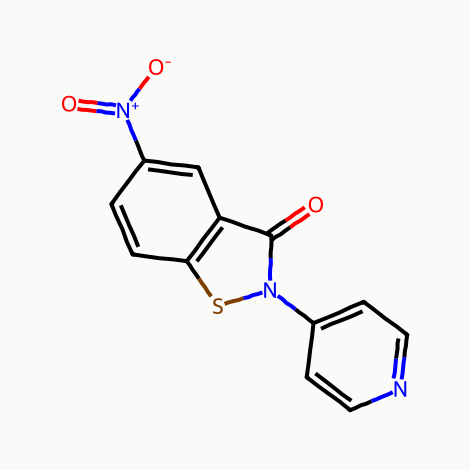 O=c1c2cc([N+](=O)[O-])ccc2sn1-c1ccncc1